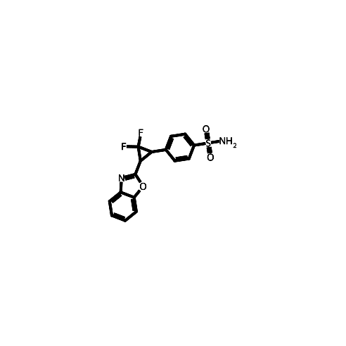 NS(=O)(=O)c1ccc(C2C(c3nc4ccccc4o3)C2(F)F)cc1